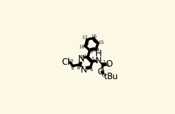 CC(C)(C)OC(=O)Nc1cnc(CCl)nc1-c1ccccc1